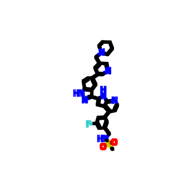 CS(=O)(=O)NCc1cc(F)cc(-c2ccnc3[nH]c(-c4n[nH]c5ccc(-c6cncc(CN7CCCCC7)c6)cc45)cc23)c1